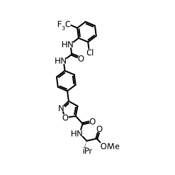 COC(=O)[C@@H](NC(=O)c1cc(-c2ccc(NC(=O)Nc3c(Cl)cccc3C(F)(F)F)cc2)no1)C(C)C